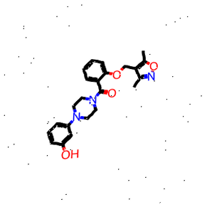 Cc1noc(C)c1COc1ccccc1C(=O)N1CCN(c2cccc(O)c2)CC1